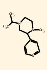 CC(C)N1CCN(C)C(c2ccncc2)C1